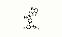 COc1ccc(F)cc1-c1ccc2c(NC(=O)c3c(F)cccc3F)n[nH]c2c1